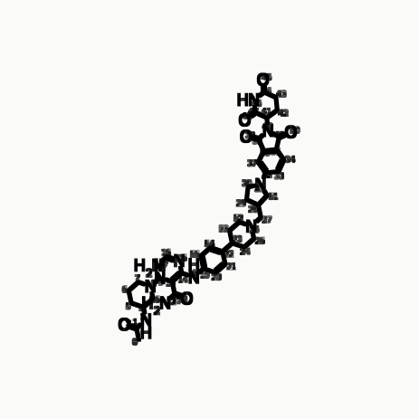 CC(=O)NC1CCCN(N/C(C(N)=O)=C(\N=C/N)Nc2ccc(C3CCN(CC4CCN(c5ccc6c(c5)C(=O)N(C5CCC(=O)NC5=O)C6=O)C4)CC3)cc2)C1